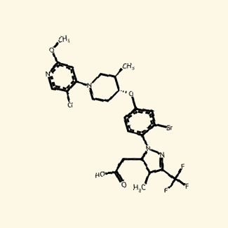 COc1cc(N2CC[C@@H](Oc3ccc(N4N=C(C(F)(F)F)C(C)C4CC(=O)O)c(Br)c3)[C@H](C)C2)c(Cl)cn1